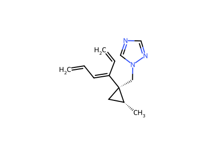 C=C/C=C(\C=C)[C@]1(Cn2cncn2)C[C@H]1C